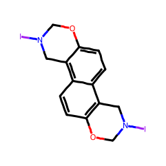 IN1COc2ccc3c4c(ccc3c2C1)OCN(I)C4